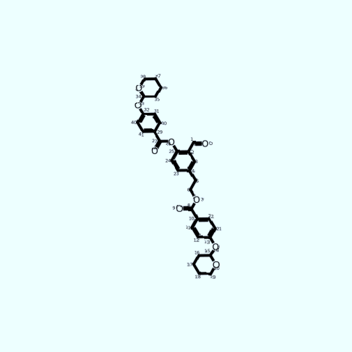 O=Cc1cc(CCOC(=O)c2ccc(OC3CCCCO3)cc2)ccc1OC(=O)c1ccc(OC2CCCCO2)cc1